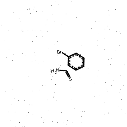 Brc1ccccc1.NC=S